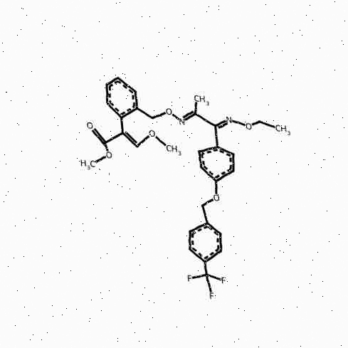 CCO/N=C(/C(C)=N/OCc1ccccc1/C(=C\OC)C(=O)OC)c1ccc(OCc2ccc(C(F)(F)F)cc2)cc1